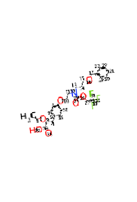 CCOC(Cc1ccc(OCCN(CCCOCc2ccccc2)C(=O)OCC(F)(F)F)cc1)C(=O)O